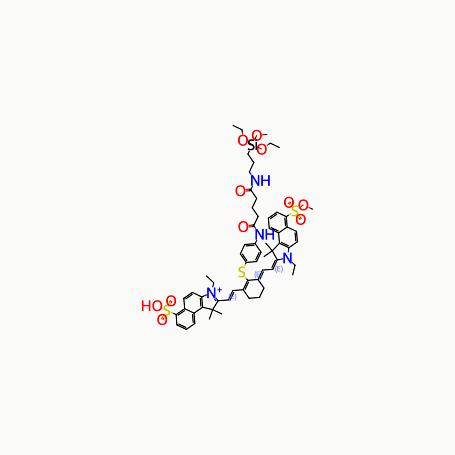 CCO[Si](CCCNC(=O)CCCC(=O)Nc1ccc(SC2=C(/C=C/C3=[N+](CC)c4ccc5c(S(=O)(=O)O)cccc5c4C3(C)C)CCC/C2=C\C=C2\N(CC)c3ccc4c(S(=O)(=O)OC)cccc4c3C2(C)C)cc1)(OC)OCC